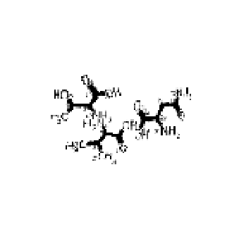 CC(C)C(N)C(=O)O.CC(O)C(N)C(=O)O.NC(=O)CC(N)C(=O)O